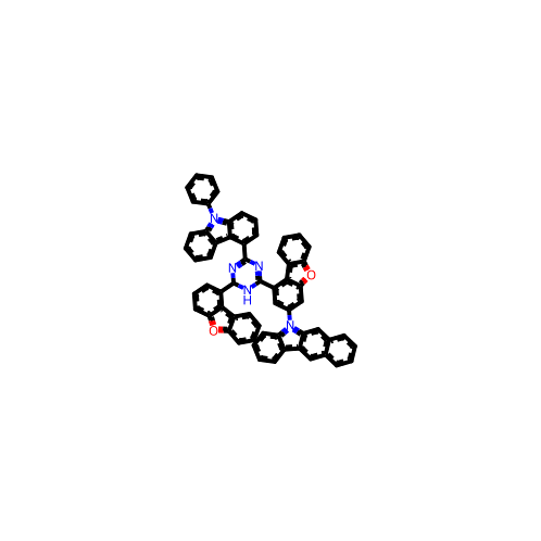 c1ccc(-n2c3ccccc3c3c(C4=NC(c5cccc6oc7ccccc7c56)NC(c5cc(-n6c7ccccc7c7cc8ccccc8cc76)cc6oc7ccccc7c56)=N4)cccc32)cc1